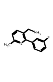 Cc1ccc(CN)c(-c2cccc(F)c2)n1